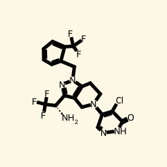 N[C@@H](c1nn(Cc2ccccc2C(F)(F)F)c2c1CN(c1cn[nH]c(=O)c1Cl)CC2)C(F)(F)F